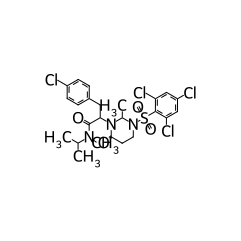 CC(C)N(C)C(=O)C(Cc1ccc(Cl)cc1)N1C(=O)CCN(S(=O)(=O)c2c(Cl)cc(Cl)cc2Cl)C1C